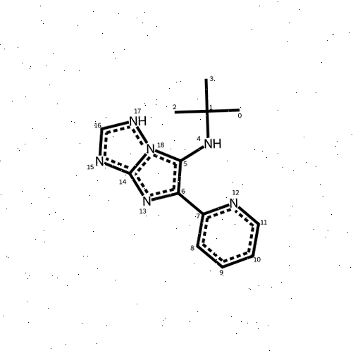 CC(C)(C)Nc1c(-c2ccccn2)nc2nc[nH]n12